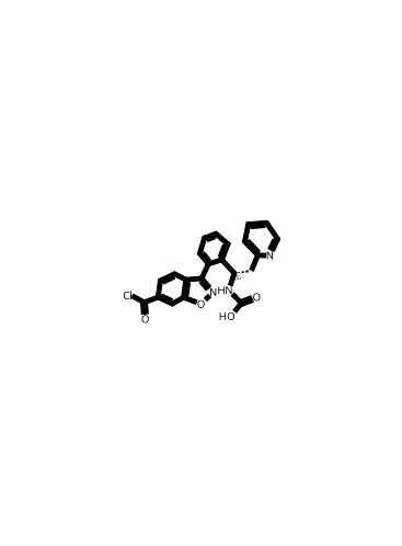 O=C(O)N[C@@H](Cc1ccccn1)c1ccccc1-c1noc2cc(C(=O)Cl)ccc12